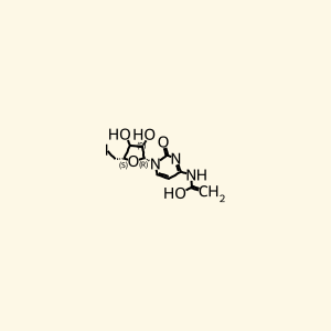 C=C(O)Nc1ccn([C@@H]2O[C@H](CI)C(O)[C@H]2O)c(=O)n1